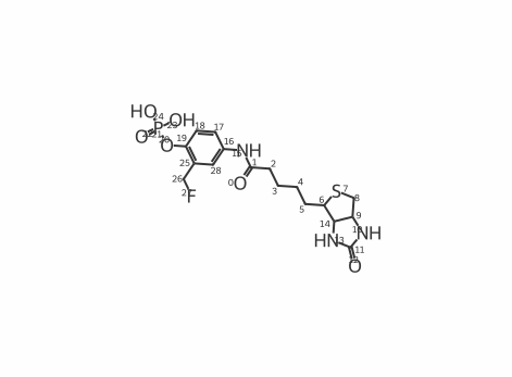 O=C(CCCCC1SCC2NC(=O)NC21)Nc1ccc(OP(=O)(O)O)c(CF)c1